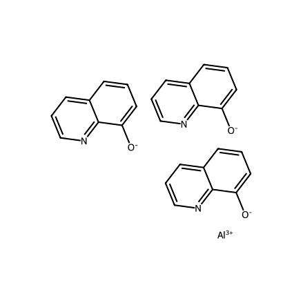 [Al+3].[O-]c1cccc2cccnc12.[O-]c1cccc2cccnc12.[O-]c1cccc2cccnc12